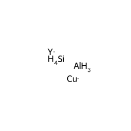 [AlH3].[Cu].[SiH4].[Y]